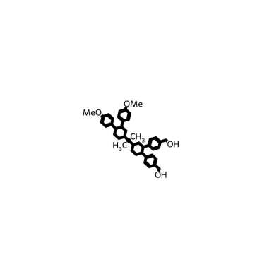 COc1ccc(C2CCC(C(C)(C)C3CCC(c4ccc(CO)cc4)C(c4ccc(CO)cc4)C3)CC2c2ccc(OC)cc2)cc1